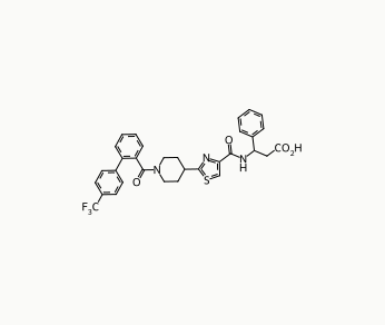 O=C(O)CC(NC(=O)c1csc(C2CCN(C(=O)c3ccccc3-c3ccc(C(F)(F)F)cc3)CC2)n1)c1ccccc1